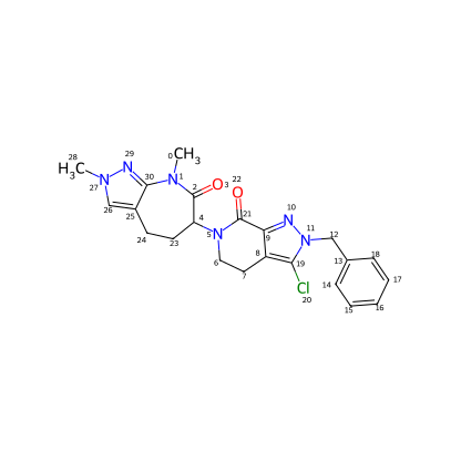 CN1C(=O)C(N2CCc3c(nn(Cc4ccccc4)c3Cl)C2=O)CCc2cn(C)nc21